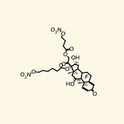 C[C@]12C=CC(=O)C=C1CCC1C3C[C@@H](O)[C@](OC(=O)CCCCCO[N+](=O)[O-])(C(=O)COC(=O)CCCO[N+](=O)[O-])[C@@]3(C)C[C@H](O)[C@@]12F